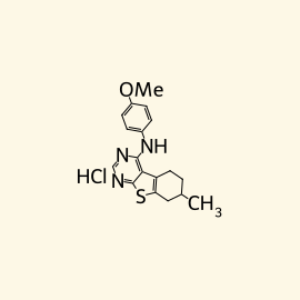 COc1ccc(Nc2ncnc3sc4c(c23)CCC(C)C4)cc1.Cl